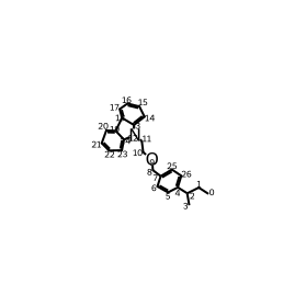 CCC(C)c1ccc(COCCn2c3ccccc3c3ccccc32)cc1